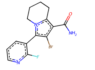 NC(=O)c1c(Br)c(-c2cccnc2F)n2c1CCCC2